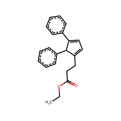 CCOC(=O)CCC1=CC=C(c2ccccc2)C1c1ccccc1